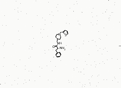 N[C@H](Cc1ccccc1)C(=O)NCC1CCN(Cc2cccs2)CC1